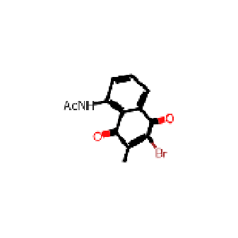 CC(=O)Nc1cccc2c1C(=O)C(C)=C(Br)C2=O